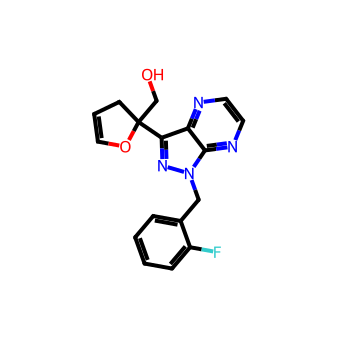 OCC1(c2nn(Cc3ccccc3F)c3nccnc23)CC=CO1